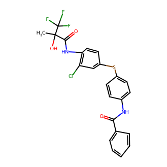 CC(O)(C(=O)Nc1ccc(Sc2ccc(NC(=O)c3ccccc3)cc2)cc1Cl)C(F)(F)F